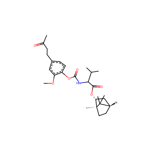 COc1cc(CCC(C)=O)ccc1OC(=O)NC(C(=O)O[C@@H]1C[C@@H]2CC[C@]1(C)C2(C)C)C(C)C